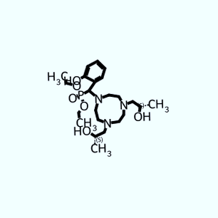 CCOP(=O)(OCC)C(c1ccccc1O)N1CCN(C[C@H](C)O)CCN(C[C@H](C)O)CC1